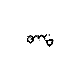 C/C(=C/C(=O)NC1CN2CCC1CC2)Sc1ccccc1